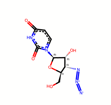 [N-]=[N+]=N[C@H]1[C@@H](O)[C@H](n2ccc(=O)[nH]c2=O)O[C@@H]1CO